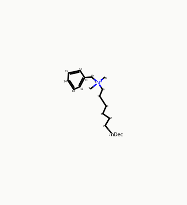 CCCCCCCCCCCCCCCC[N+](C)(C)Cc1ccccc1